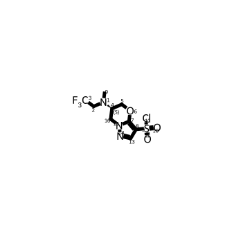 CN(CC(F)(F)F)[C@@H]1COc2c(S(=O)(=O)Cl)cnn2C1